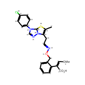 COC=C(C(=O)O)c1ccccc1CON=CCC1=C(C)SC2N1N=CN2c1ccc(Cl)cc1